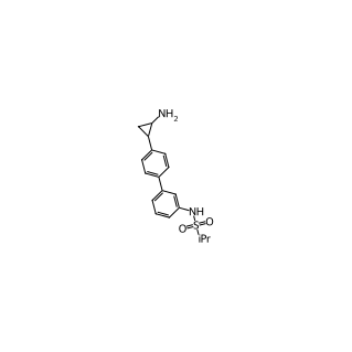 CC(C)S(=O)(=O)Nc1cccc(-c2ccc(C3CC3N)cc2)c1